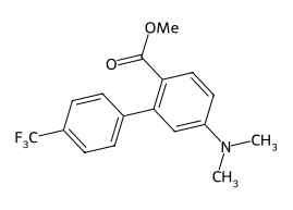 COC(=O)c1ccc(N(C)C)cc1-c1ccc(C(F)(F)F)cc1